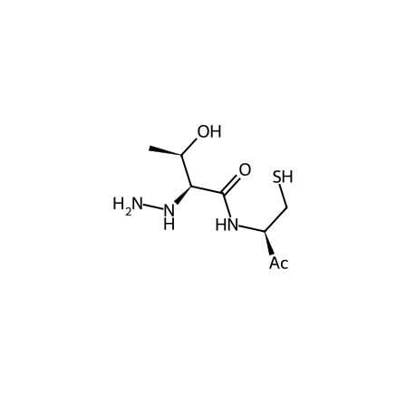 CC(=O)[C@H](CS)NC(=O)[C@@H](NN)[C@@H](C)O